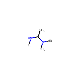 CCNC(C)N(C)CC